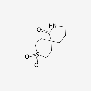 O=C1NCCCC12CCS(=O)(=O)CC2